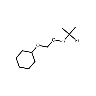 CCC(C)(C)OOCOC1CCCCC1